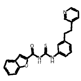 O=C(NC(=S)Nc1cccc(CCc2cccnc2)c1)c1cc2ccccc2o1